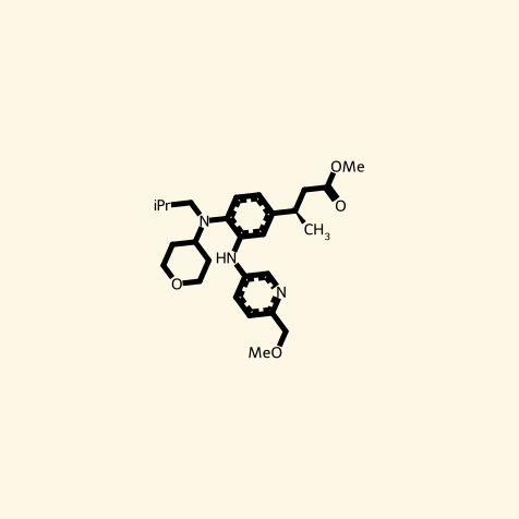 COCc1ccc(Nc2cc([C@H](C)CC(=O)OC)ccc2N(CC(C)C)C2CCOCC2)cn1